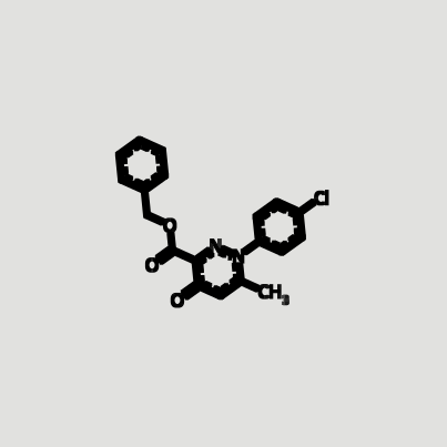 Cc1cc(=O)c(C(=O)OCc2ccccc2)nn1-c1ccc(Cl)cc1